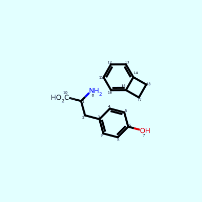 NC(Cc1ccc(O)cc1)C(=O)O.c1ccc2c(c1)CC2